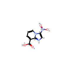 O=C(O)c1cccn2c([N+](=O)[O-])cnc12